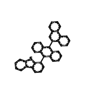 c1ccc2c(c1)cc(-c1c3ccccc3c(-c3cccc4c3sc3ccccc34)c3ccccc13)c1ccccc12